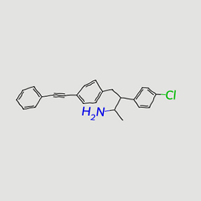 CC(N)C(Cc1ccc(C#Cc2ccccc2)cc1)c1ccc(Cl)cc1